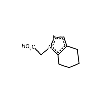 O=C(O)Cn1ncc2c1CCCC2